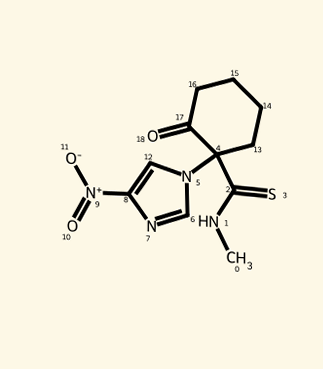 CNC(=S)C1(n2cnc([N+](=O)[O-])c2)CCCCC1=O